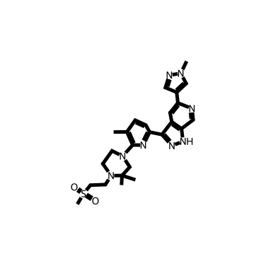 Cc1ccc(-c2n[nH]c3cnc(-c4cnn(C)c4)cc23)nc1N1CCN(CCS(C)(=O)=O)C(C)(C)C1